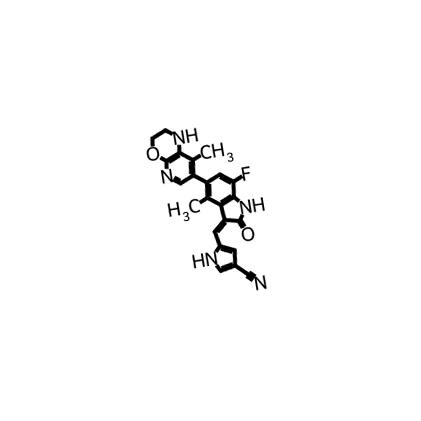 Cc1c(-c2cc(F)c3c(c2C)C(=Cc2cc(C#N)c[nH]2)C(=O)N3)cnc2c1NCCO2